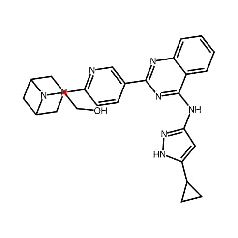 OCCN1C2CC1CN(c1ccc(-c3nc(Nc4cc(C5CC5)[nH]n4)c4ccccc4n3)cn1)C2